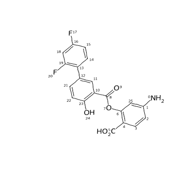 Nc1ccc(C(=O)O)c(OC(=O)c2cc(-c3ccc(F)cc3F)ccc2O)c1